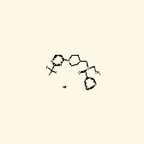 CCN(CC1CCN(c2ccnc(C(F)(F)F)n2)CC1)C(=O)c1cccnc1.Cl